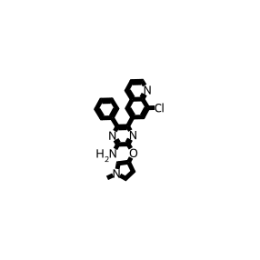 CN1CCC(Oc2nc(-c3cc(Cl)c4ncccc4c3)c(-c3ccccc3)nc2N)C1